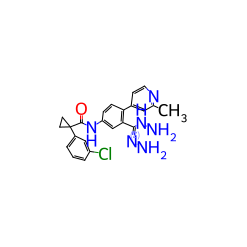 Cc1cc(-c2ccc(NC(=O)C3(c4cccc(Cl)c4)CC3)cc2/C(=N/N)NN)ccn1